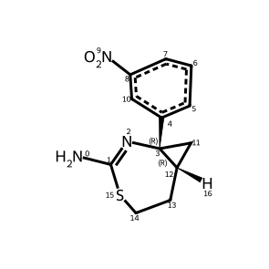 NC1=N[C@]2(c3cccc([N+](=O)[O-])c3)C[C@@H]2CCS1